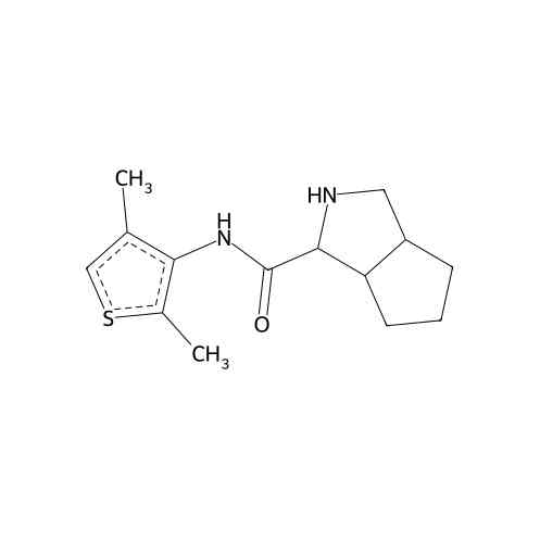 Cc1csc(C)c1NC(=O)C1NCC2CCCC21